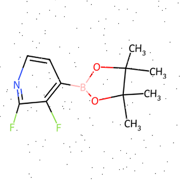 CC1(C)OB(c2ccnc(F)c2F)OC1(C)C